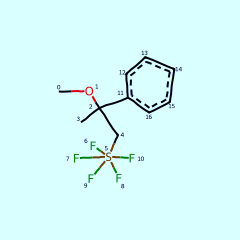 COC(C)(CS(F)(F)(F)(F)F)c1ccccc1